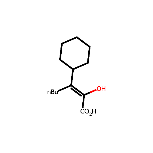 CCCCC(=C(O)C(=O)O)C1CCCCC1